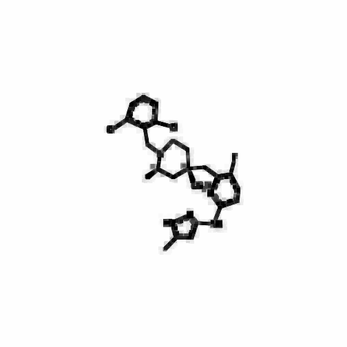 Cc1cc(Nc2ccc(F)c(C[C@@]3(C(=O)O)CCN(Cc4c(Cl)cccc4Cl)[C@H](C)C3)n2)n[nH]1